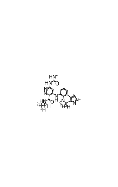 [2H]C([2H])([2H])NC(=O)c1nnc(NC(=O)NC)cc1Nc1cccc2c1N(C)C([2H])([2H])c1nn(C)nc1-2